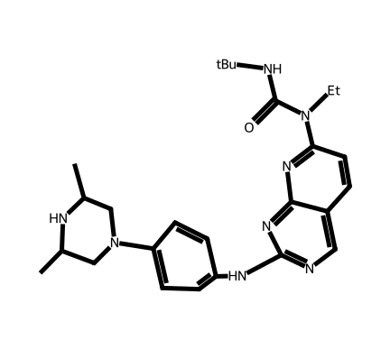 CCN(C(=O)NC(C)(C)C)c1ccc2cnc(Nc3ccc(N4CC(C)NC(C)C4)cc3)nc2n1